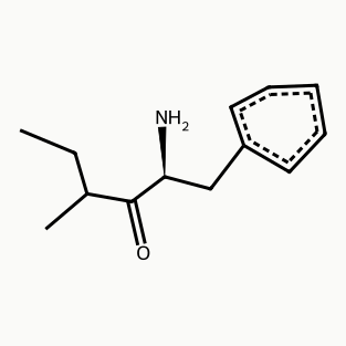 CCC(C)C(=O)[C@@H](N)Cc1ccccc1